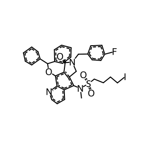 CN(c1c2c(c(OC(c3ccccc3)c3ccccc3)c3ncccc13)C(=O)N(Cc1ccc(F)cc1)C2)S(=O)(=O)CCCCI